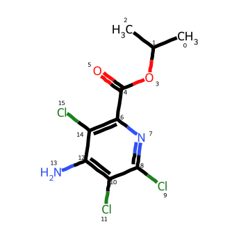 CC(C)OC(=O)c1nc(Cl)c(Cl)c(N)c1Cl